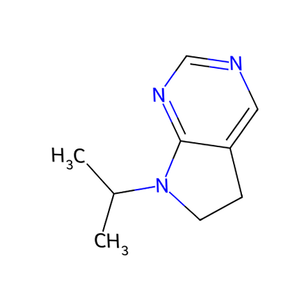 CC(C)N1CCc2cncnc21